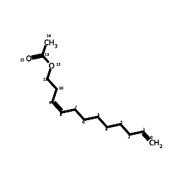 C=CCCCCCC/C=C\CCOC(C)=O